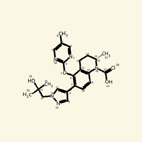 Cc1cnc(Oc2c(-c3cnn(CC(C)(C)O)c3)ccc3c2CC[C@H](C)N3C(=O)O)nc1